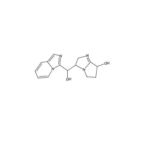 OC1CCN2C1=NCC2C(O)c1ncc2ccccn12